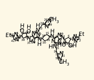 CCc1cnn([C@H]2C[C@@H](n3cnc4c(N[C@H]5CC[C@H](Nc6nc(NCCc7cn(C)cn7)nc7c6ncn7[C@@H]6C[C@H](n7ncc(CC)n7)[C@@H](O)[C@H]6O)CC5)nc(NCCc5cn(C)cn5)nc43)[C@H](O)[C@@H]2O)n1